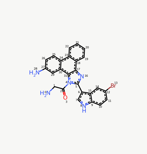 NCC(=O)n1c(-c2c[nH]c3ccc(Br)cc23)nc2c3ccccc3c3ccc(N)cc3c21